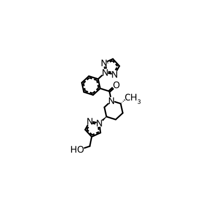 C[C@@H]1CC[C@@H](n2cc(CO)cn2)CN1C(=O)c1ccccc1-n1nccn1